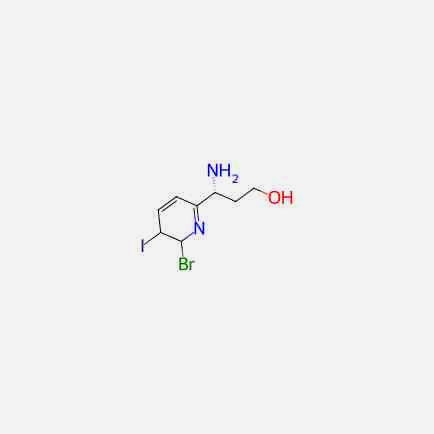 N[C@H](CCO)C1=NC(Br)C(I)C=C1